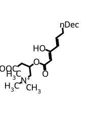 CCCCCCCCCCCC=CC(O)=CC(=O)OC(CC(=O)[O-])C[N+](C)(C)C